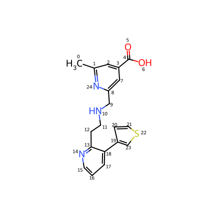 Cc1cc(C(=O)O)cc(CNCCc2ncccc2-c2ccsc2)n1